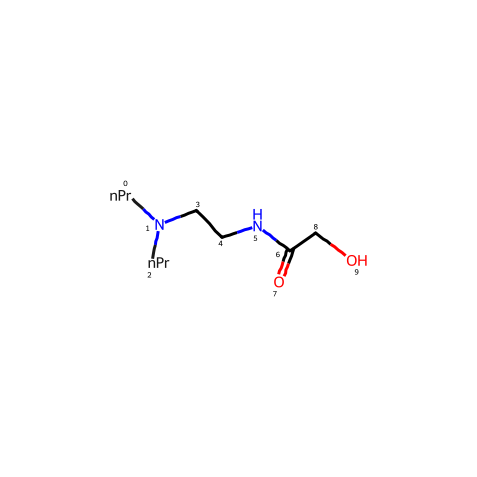 CCCN(CCC)CCNC(=O)CO